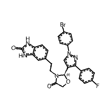 O=C1CO[C@H](c2cn(-c3ccc(Br)cc3)nc2-c2ccc(F)cc2)N1CCc1ccc2[nH]c(=O)[nH]c2c1